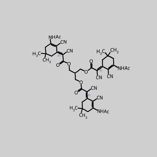 CC(=O)NC1=C(C#N)/C(=C(\C#N)C(=O)OCC(COC(=O)/C(C#N)=C2\CC(C)(C)CC(NC(C)=O)=C2C#N)COC(=O)/C(C#N)=C2\CC(C)(C)CC(NC(C)=O)=C2C#N)CC(C)(C)C1